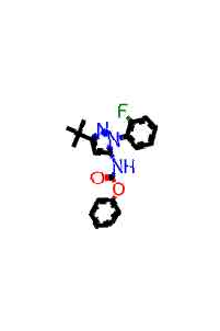 CC(C)(C)c1cc(NC(=O)Oc2ccccc2)n(-c2ccccc2F)n1